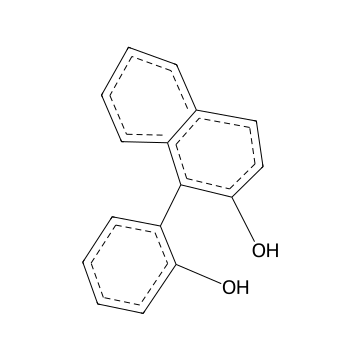 Oc1ccccc1-c1c(O)ccc2ccccc12